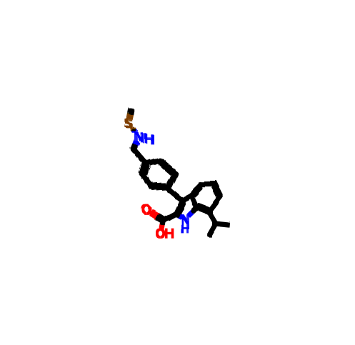 CSNCc1ccc(-c2c(C(=O)O)[nH]c3c(C(C)C)cccc23)cc1